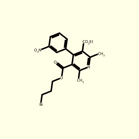 CCOC(=O)c1c(C)nc(C)c(C(=O)OCCCBr)c1-c1cccc([N+](=O)[O-])c1